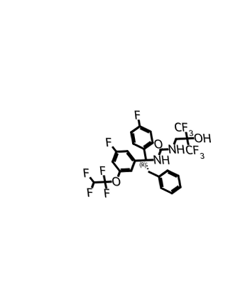 O=C(NCC(O)(C(F)(F)F)C(F)(F)F)N[C@](Cc1ccccc1)(c1ccc(F)cc1)c1cc(F)cc(OC(F)(F)C(F)F)c1